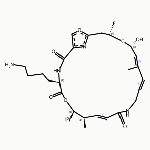 CC1=C\[C@@H](O)C[C@@H](F)Cc2nc(co2)C(=O)N[C@H](CCCCN)C(=O)O[C@H](C(C)C)[C@H](C)/C=C/C(=O)NC\C=C\1